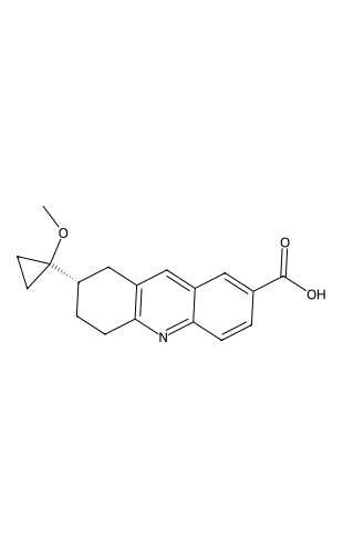 COC1([C@H]2CCc3nc4ccc(C(=O)O)cc4cc3C2)CC1